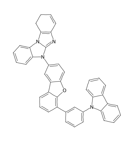 C1=Cc2nc3n(-c4ccc5oc6c(-c7cccc(-n8c9ccccc9c9ccccc98)c7)cccc6c5c4)c4ccccc4n3c2CC1